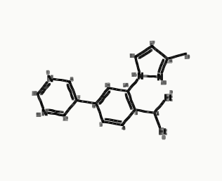 CCC(CC)c1ccc(-c2cncnc2)cc1-n1ccc(C)n1